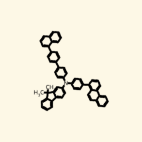 CC1(C)c2ccccc2-c2ccc(N(c3ccc(-c4ccc(-c5cccc6ccccc56)cc4)cc3)c3ccc(-c4cccc5c4ccc4ccccc45)cc3)cc21